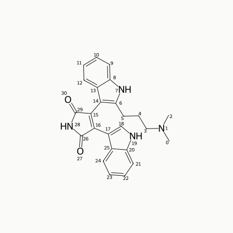 CN(C)CCCc1[nH]c2ccccc2c1C1=C(c2c[nH]c3ccccc23)C(=O)NC1=O